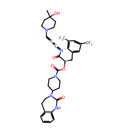 CC1(O)CCN(C=C=C=NC(=O)[C@@H](Cc2cc(C(F)(F)F)cc(C(F)(F)F)c2)OC(=O)N2CCC(N3CCc4ccccc4NC3=O)CC2)CC1